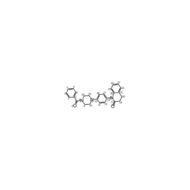 O=C(c1ccccc1)N1CCN(c2ccc(N3C(=O)CCc4ccccc43)cc2)CC1